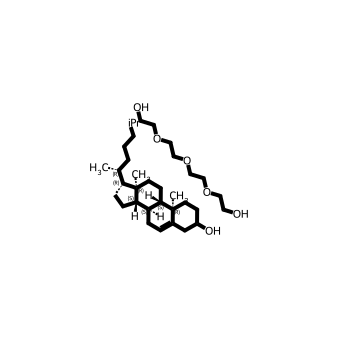 CC(C)CCC[C@@H](C)[C@H]1CC[C@H]2[C@@H]3CC=C4CC(O)CC[C@]4(C)[C@H]3CC[C@]12C.OCCOCCOCCOCCO